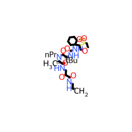 C=CCNC(=O)C(=O)CNC(=O)[C@H](C)N(CCC)C(=O)[C@@H](NC(=O)NC1(C2COCCS2(=O)=O)CCCCC1)C(C)(C)C